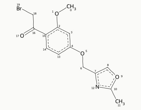 COc1cc(OCc2coc(C)n2)ccc1C(=O)CBr